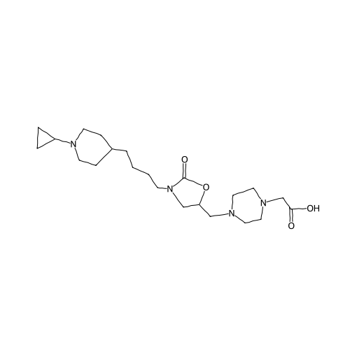 O=C(O)CN1CCN(CC2CN(CCCCC3CCN(C4CC4)CC3)C(=O)O2)CC1